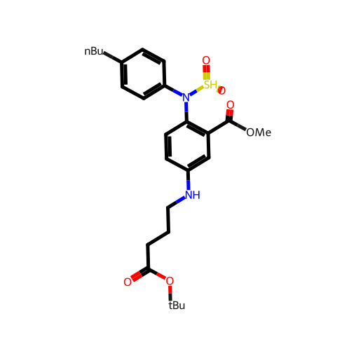 CCCCc1ccc(N(c2ccc(NCCCC(=O)OC(C)(C)C)cc2C(=O)OC)[SH](=O)=O)cc1